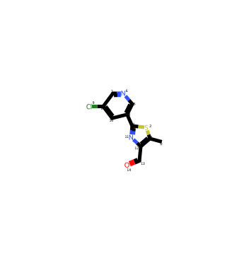 Cc1sc(-c2cncc(Cl)c2)nc1C=O